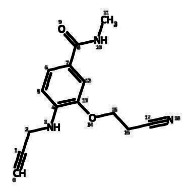 C#CCNc1ccc(C(=O)NC)cc1OCCC#N